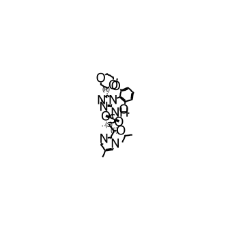 COc1cccc(OC)c1-n1c(NS(=O)(=O)[C@@H](C)[C@@H](OC(C)C)c2ncc(C)cn2)nnc1[C@@H]1COCCO1